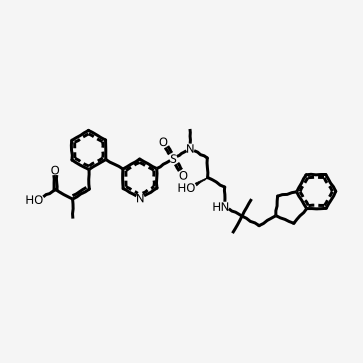 CC(=Cc1ccccc1-c1cncc(S(=O)(=O)N(C)C[C@H](O)CNC(C)(C)CC2Cc3ccccc3C2)c1)C(=O)O